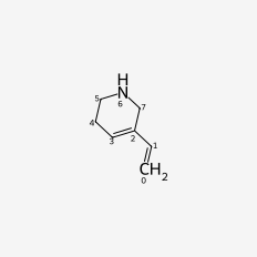 C=CC1=CCCNC1